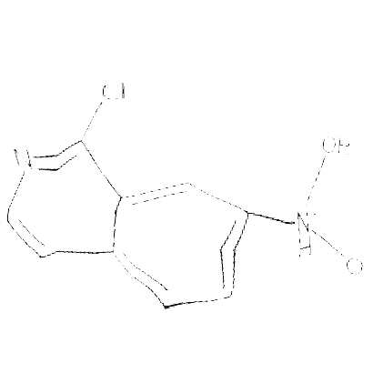 [O-][NH+](O)c1ccc2ccnc(Cl)c2c1